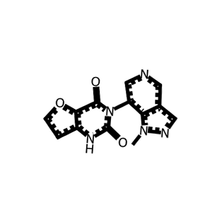 Cn1ncc2cncc(-n3c(=O)[nH]c4ccoc4c3=O)c21